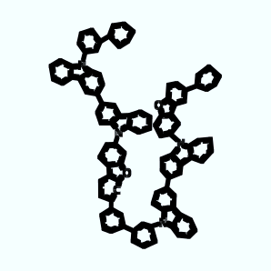 c1ccc(-c2cccc(-n3c4ccccc4c4cc(-c5ccc6c(c5)c5ccccc5n6-c5ccc6c(c5)oc5cc(-c7cccc(-c8cccc(-n9c%10ccccc%10c%10cc(-c%11ccc%12c(c%11)c%11ccccc%11n%12-c%11ccc%12oc%13ccc(-c%14ccccc%14)cc%13c%12c%11)ccc%109)c8)c7)ccc56)ccc43)c2)cc1